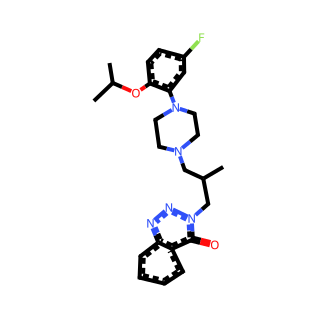 CC(CN1CCN(c2cc(F)ccc2OC(C)C)CC1)Cn1nnc2ccccc2c1=O